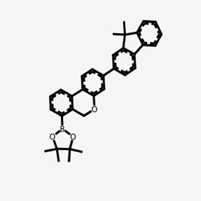 CC1(C)c2ccccc2-c2ccc(-c3ccc4c(c3)OCc3c(B5OC(C)(C)C(C)(C)O5)cccc3-4)cc21